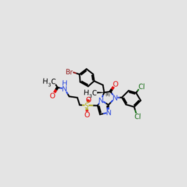 CC(=O)NCCCS(=O)(=O)c1cnc2n1[C@](C)(Cc1ccc(Br)cc1)C(=O)N2c1cc(Cl)cc(Cl)c1